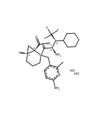 Cc1nc(N)ccc1C[N+]1(C(=O)[C@H](N)[C@H](C2CCCCC2)C(F)(F)F)CCC[C@@H]2C[C@@]21C(N)=O.Cl.Cl